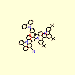 CC(C)(C)c1ccc(N2c3cc(-n4c5ccc(C(C)(C)C)cc5c5cc(C(C)(C)C)ccc54)ccc3B3c4ccc(-n5c6ccccc6c6ccccc65)cc4Oc4cc(-c5cc(C#N)ccc5N(c5ccccc5)c5ccccc5-c5ccccc5)cc2c43)c(-c2ccccc2)c1